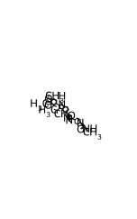 CNC(=O)CN1CCC(c2nnc(-c3ccc4[nH]c(-c5ccc(OC)c(OC)c5)c(C(C)C)c4c3)o2)CC1